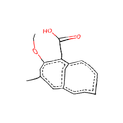 COc1c(C)cc2ccccc2c1C(=O)O